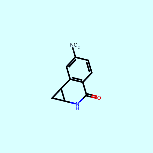 O=C1NC2CC2c2cc([N+](=O)[O-])ccc21